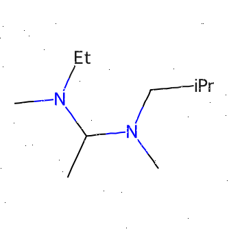 CCN(C)C(C)N(C)CC(C)C